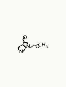 COCCn1cc(C=O)c2ccncc21